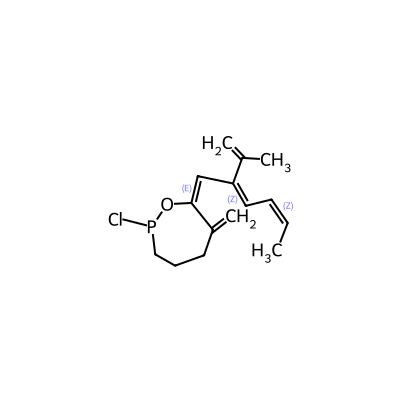 C=C(C)C(=C\C=C/C)/C=C1/OP(Cl)CCCC1=C